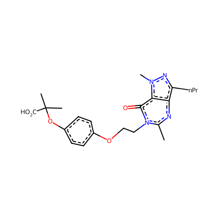 CCCc1nn(C)c2c(=O)n(CCOc3ccc(OC(C)(C)C(=O)O)cc3)c(C)nc12